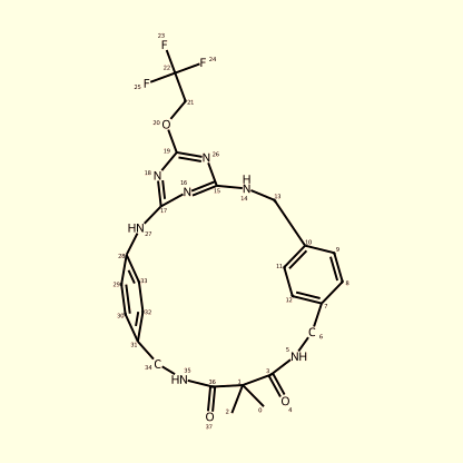 CC1(C)C(=O)NCc2ccc(cc2)CNc2nc(nc(OCC(F)(F)F)n2)Nc2ccc(cc2)CNC1=O